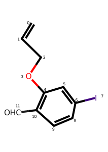 C=CCOc1cc(I)ccc1C=O